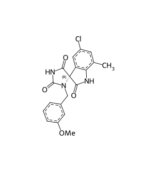 COc1cccc(CN2C(=O)NC(=O)[C@@]23C(=O)Nc2c(C)cc(Cl)cc23)c1